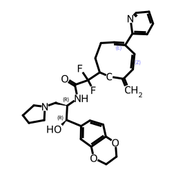 C=C1/C=C\C(c2ccccn2)=C/CCC(C(F)(F)C(=O)N[C@H](CN2CCCC2)[C@H](O)c2ccc3c(c2)OCCO3)C1